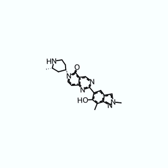 Cc1c(O)c(-c2ncc3c(=O)n([C@H]4CCN[C@@H](C)C4)ccc3n2)cc2cn(C)nc12